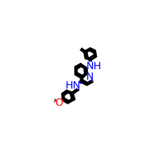 COc1ccc(CNc2ccnc3c(Nc4cccc(C)c4)cccc23)cc1